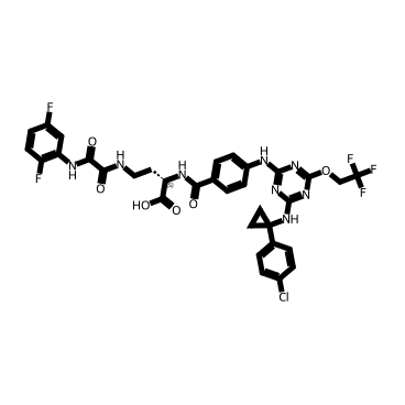 O=C(NCC[C@H](NC(=O)c1ccc(Nc2nc(NC3(c4ccc(Cl)cc4)CC3)nc(OCC(F)(F)F)n2)cc1)C(=O)O)C(=O)Nc1cc(F)ccc1F